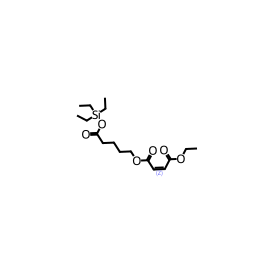 CCOC(=O)/C=C\C(=O)OCCCCC(=O)O[Si](CC)(CC)CC